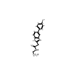 O=C(O)CNC(=O)Cc1nc2cc(-c3ccc(F)cc3)ccc2s1